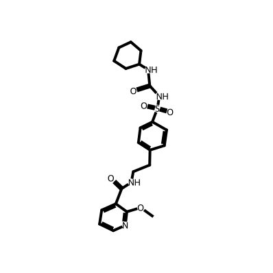 COc1ncccc1C(=O)NCCc1ccc(S(=O)(=O)NC(=O)NC2CCCCC2)cc1